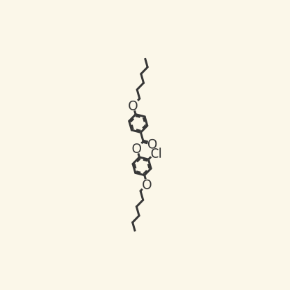 CCCCCCOc1ccc(C(=O)Oc2ccc(OCCCCCC)cc2Cl)cc1